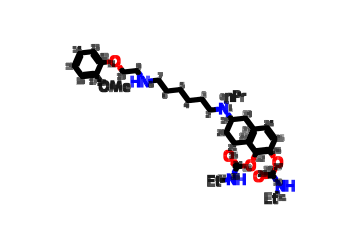 CCCN(CCCCCCNCCOc1ccccc1OC)C1CCc2c(ccc(OC(=O)NCC)c2OC(=O)NCC)C1